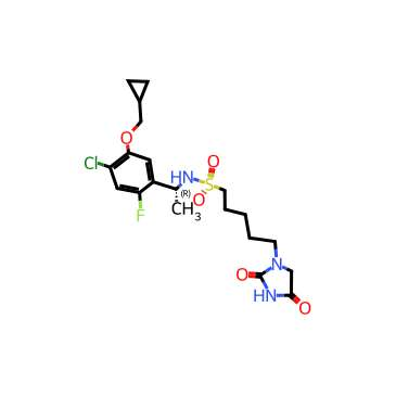 C[C@@H](NS(=O)(=O)CCCCCN1CC(=O)NC1=O)c1cc(OCC2CC2)c(Cl)cc1F